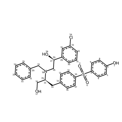 O=S(=O)(c1ccc(O)cc1)c1ccc(C[C@@H](CO)N(Cc2ccccc2)C[C@@H](O)c2cccc(Cl)c2)cc1